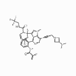 C=C(F)C(=O)Nc1ccccc1-c1ncc(C#CCN2CC(N(C)C)C2)c2c1c(C1(Cl)C=C(N)C=CC1C(=O)NCC(F)(F)F)cn2C